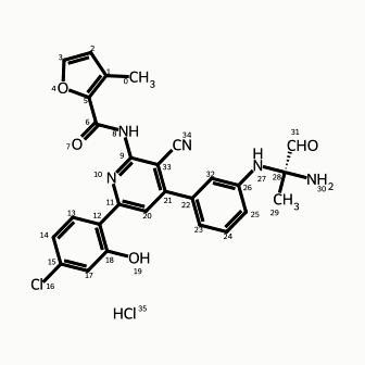 Cc1ccoc1C(=O)Nc1nc(-c2ccc(Cl)cc2O)cc(-c2cccc(N[C@](C)(N)C=O)c2)c1C#N.Cl